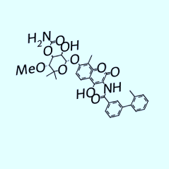 CO[C@@H]1[C@@H](OC(N)=O)[C@@H](O)[C@H](Oc2ccc3c(O)c(NC(=O)c4cccc(-c5ccccc5C)c4)c(=O)oc3c2C)OC1(C)C